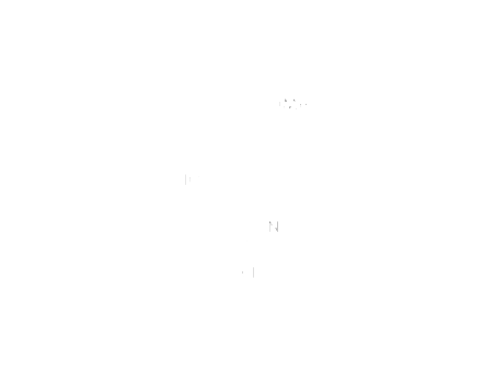 COc1ccc2nc(C(F)(F)F)cc(O)c2c1